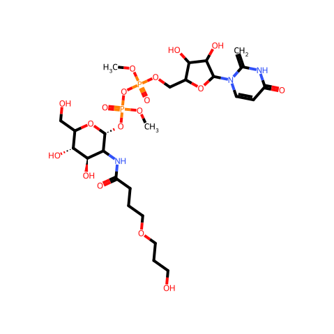 C=C1NC(=O)C=CN1C1OC(COP(=O)(OC)OP(=O)(OC)O[C@H]2OC(CO)[C@@H](O)[C@H](O)C2NC(=O)CCCOCCCO)C(O)C1O